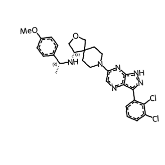 COc1ccc([C@@H](C)N[C@@H]2COCC23CCN(c2cnc4c(-c5cccc(Cl)c5Cl)n[nH]c4n2)CC3)cc1